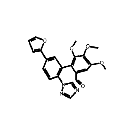 COc1cc(C=O)c(-c2cc(-c3ccco3)ccc2-n2cncn2)c(OC)c1OC